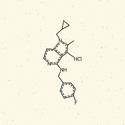 Cc1c(C)n(CC2CC2)c2ccnc(NCc3ccc(F)cc3)c12.Cl